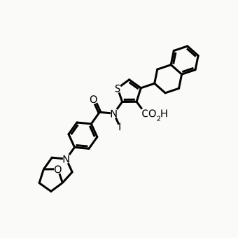 O=C(O)c1c(C2CCc3ccccc3C2)csc1N(I)C(=O)c1ccc(N2CC3CCC(C2)O3)cc1